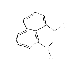 OB1OB(O)c2cccc3cccc1c23